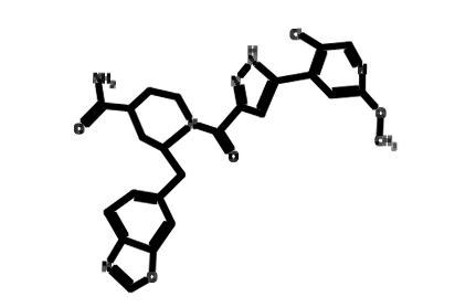 COc1cc(-c2cc(C(=O)N3CCC(C(N)=O)CC3Cc3ccc4ncoc4c3)n[nH]2)c(Cl)cn1